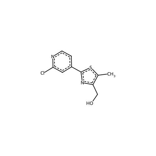 Cc1sc(-c2ccnc(Cl)c2)nc1CO